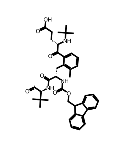 Cc1cccc(C(=O)[C@H](CCC(=O)O)NC(C)(C)C)c1C[C@H](NC(=O)OCC1c2ccccc2-c2ccccc21)C(=O)N[C@H]([C]=O)C(C)(C)C